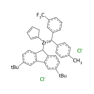 Cc1ccc(/[C](c2cccc(C(F)(F)F)c2)=[Zr+2](/[C]2=CC=CC2)[CH]2c3ccc(C(C)(C)C)cc3-c3cc(C(C)(C)C)ccc32)cc1.[Cl-].[Cl-]